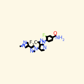 Cn1cc(-c2cn(-c3ccnc4c3c(C(F)(F)F)nn4-c3ccc(C(N)=O)cc3F)cn2)cn1